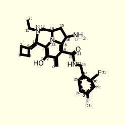 C=C1C(O)=C2C(=C3CCC3)N(CC)CC3CC(N)C(=C1C(=O)NCc1ccc(F)cc1F)N23